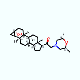 C[C@H]1CN(CC(=O)[C@H]2CC[C@H]3[C@@H]4CC[C@@H]5C6C[C@@]6(O)CC[C@@H]5[C@H]4CC[C@]23C)C[C@H](C)O1